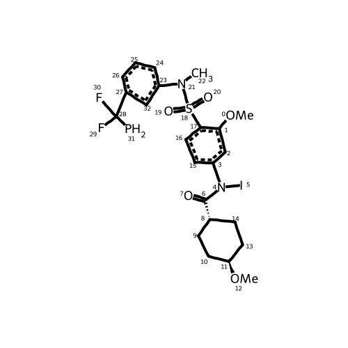 COc1cc(N(I)C(=O)[C@H]2CC[C@H](OC)CC2)ccc1S(=O)(=O)N(C)c1cccc(C(F)(F)P)c1